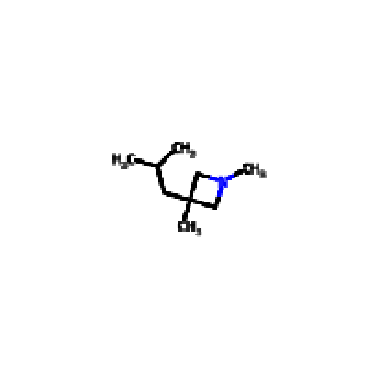 CC(C)CC1(C)CN(C)C1